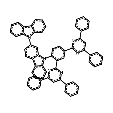 c1ccc(-c2cc(-c3ccccc3)nc(-c3ccc(-n4c5ccccc5c5ccc(-n6c7ccccc7c7ccccc76)cc54)c(-c4nc(-c5ccccc5)cc(-c5ccccc5)n4)c3)n2)cc1